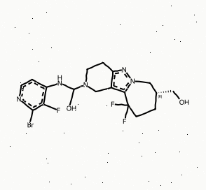 OC[C@@H]1CCC(F)(F)c2c3c(nn2C1)CCN(C(O)Nc1ccnc(Br)c1F)C3